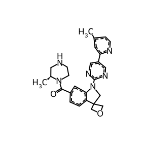 Cc1ccnc(-c2cnc(N3CC4(COC4)c4ccc(C(=O)N5CCNC[C@@H]5C)cc43)nc2)c1